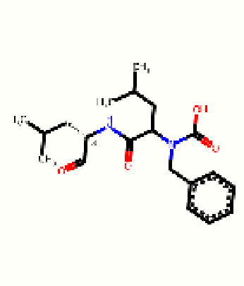 CC(C)CC(C(=O)N[C@H](C=O)CC(C)C)N(Cc1ccccc1)C(=O)O